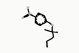 CCCC(C)(C)Oc1ccc([N+](=O)[O-])cc1